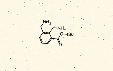 CC(C)(C)OC(=O)c1cccc(CN)c1CN